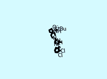 CC(C)(C)[S+]([O-])N[C@@H]1CCCC12CCN(c1cnc(Sc3cccc(Cl)c3Cl)c(I)n1)CC2